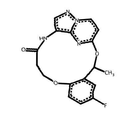 CC1Oc2ccn3ncc(c3n2)NC(=O)CCOc2ccc(F)cc21